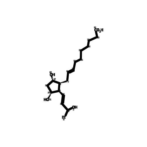 CCC(O)/C=C/[C@@H]1[C@@H](C/C=C/CCCCCCC(=O)O)[C@@H](O)C[C@H]1O